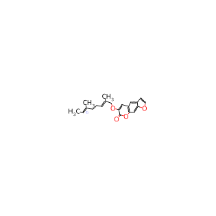 C/C=C(\C)CCC=C(C)COc1cc2cc3ccoc3cc2oc1=O